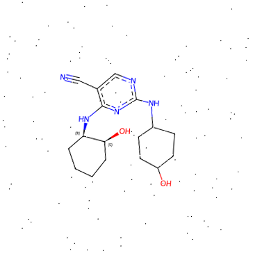 N#Cc1cnc(NC2CCC(O)CC2)nc1N[C@@H]1CCCC[C@@H]1O